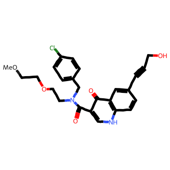 COCCOCCN(Cc1ccc(Cl)cc1)C(=O)c1c[nH]c2ccc(C#CCO)cc2c1=O